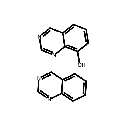 Oc1cccc2cncnc12.c1ccc2ncncc2c1